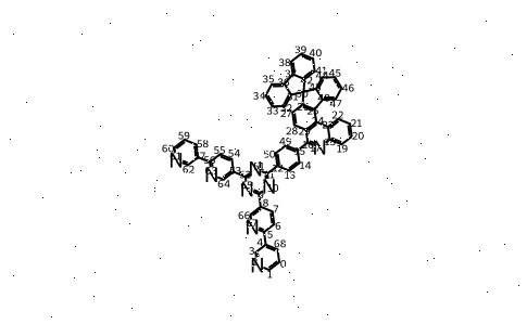 c1cncc(-c2ccc(-c3nc(-c4ccc(-c5nc6ccccc6c6c7c(ccc56)C5(c6ccccc6-c6ccccc65)c5ccccc5-7)cc4)nc(-c4ccc(-c5cccnc5)nc4)n3)cn2)c1